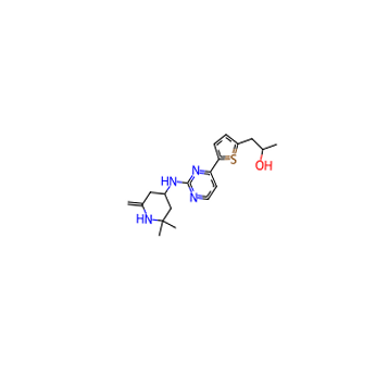 C=C1CC(Nc2nccc(-c3ccc(CC(C)O)s3)n2)CC(C)(C)N1